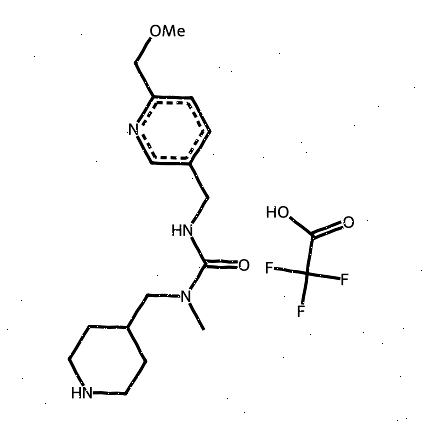 COCc1ccc(CNC(=O)N(C)CC2CCNCC2)cn1.O=C(O)C(F)(F)F